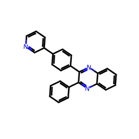 c1ccc(-c2nc3ccccc3nc2-c2ccc(-c3cccnc3)cc2)cc1